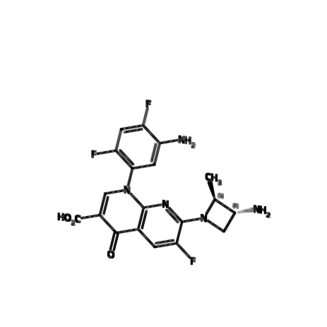 C[C@H]1[C@H](N)CN1c1nc2c(cc1F)c(=O)c(C(=O)O)cn2-c1cc(N)c(F)cc1F